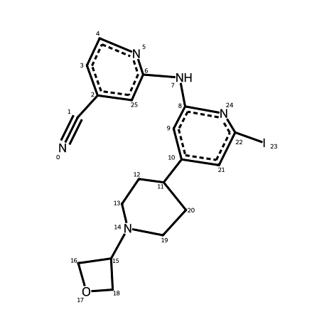 N#Cc1ccnc(Nc2cc(C3CCN(C4COC4)CC3)cc(I)n2)c1